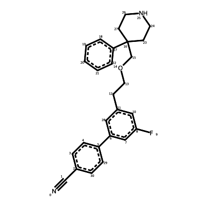 N#Cc1ccc(-c2cc(F)cc(CCOCC3(c4ccccc4)CCNCC3)c2)cc1